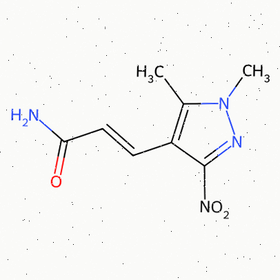 Cc1c(/C=C/C(N)=O)c([N+](=O)[O-])nn1C